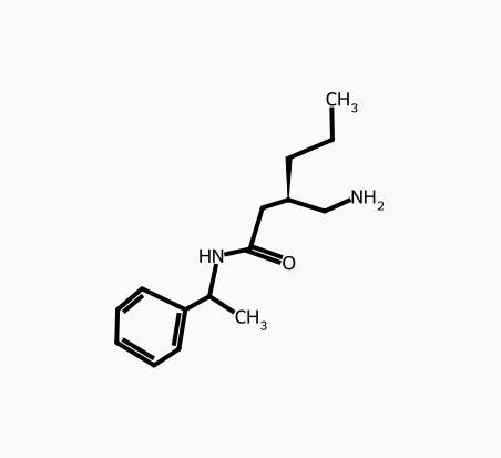 CCC[C@@H](CN)CC(=O)NC(C)c1ccccc1